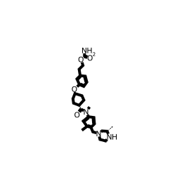 Cc1cc(N(C)C(=O)[C@H]2CC[C@H](Oc3cccc(CCOC(N)=O)c3)CC2)ccc1CN1CCN[C@@H](C)C1